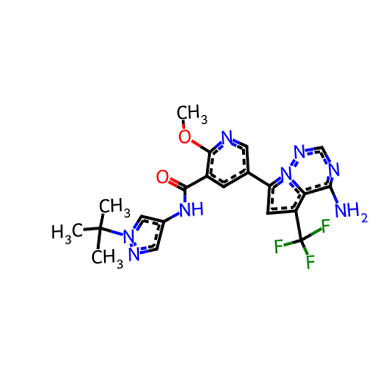 COc1ncc(-c2cc(C(F)(F)F)c3c(N)ncnn23)cc1C(=O)Nc1cnn(C(C)(C)C)c1